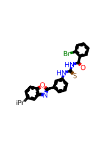 CC(C)c1ccc2oc(-c3cccc(NC(=S)NC(=O)c4ccccc4Br)c3)nc2c1